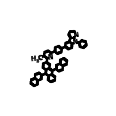 CC1C=CC(c2ccc(-c3ccc4c(c3)c3cccnc3n4-c3ccccc3)cc2)=NC1c1ccc2c(-c3ccc4ccccc4c3)c3ccccc3c(-c3ccc4ccccc4c3)c2c1